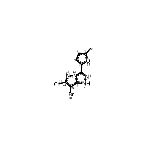 Cc1ccc(-c2n[nH]c3c(Br)c(Cl)nn23)o1